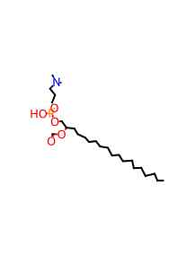 CCCCCCCCCCCCCCCCCC(COP(O)OCCCN(C)C)OC=O